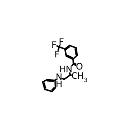 CC(CNc1ccccc1)NC(=O)c1cccc(C(F)(F)F)c1